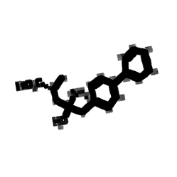 CCOC(=O)[C@H](C)C[C@@](N)(O)Cc1ccc(-c2ccccc2)cc1